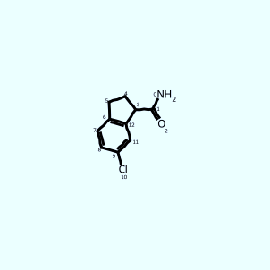 NC(=O)C1CCc2ccc(Cl)cc21